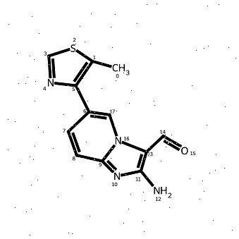 Cc1scnc1-c1ccc2nc(N)c(C=O)n2c1